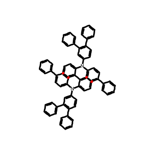 c1ccc(-c2ccc(N(c3ccc(-c4ccccc4)c(-c4ccccc4)c3)c3ccccc3-c3ccccc3N(c3ccc(-c4ccccc4)cc3)c3ccc(-c4ccccc4)c(-c4ccccc4)c3)cc2)cc1